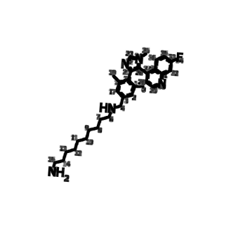 Cc1cc(CNCCCCCCCCCCN)cc(C)c1-c1ncn(C)c1-c1ccnc2cc(F)ccc12